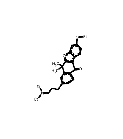 CCOc1ccc2c3c(oc2c1)C(C)(C)c1cc(CCCN(CC)CC)ccc1C3=O